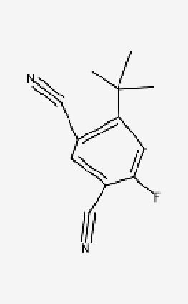 CC(C)(C)c1cc(F)c(C#N)cc1C#N